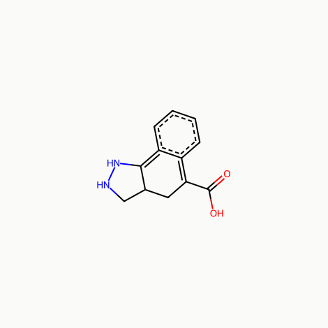 O=C(O)C1=c2ccccc2=C2NNCC2C1